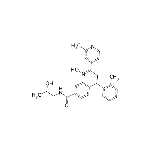 Cc1cc(C(C[C@H](c2ccc(C(=O)NCC(C)O)cc2)c2ccccc2C)=NO)ccn1